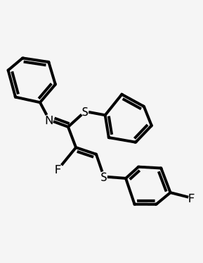 FC(=CSc1ccc(F)cc1)C(=Nc1ccccc1)Sc1ccccc1